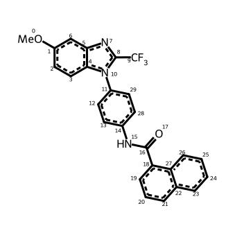 COc1ccc2c(c1)nc(C(F)(F)F)n2-c1ccc(NC(=O)c2cccc3ccccc23)cc1